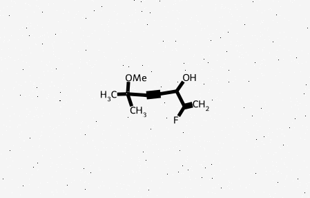 C=C(F)C(O)C#CC(C)(C)OC